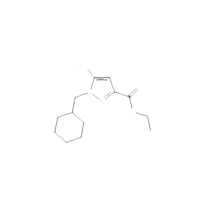 CCOC(=O)c1cc(O)n(CC2CCCCC2)n1